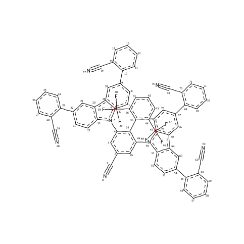 N#Cc1cc(-n2c3ccc(-c4ccccc4C#N)cc3c3cc(-c4ccccc4C#N)ccc32)c(-c2c(C(F)(F)F)cccc2C(F)(F)F)c(-n2c3ccc(-c4ccccc4C#N)cc3c3cc(-c4ccccc4C#N)ccc32)c1